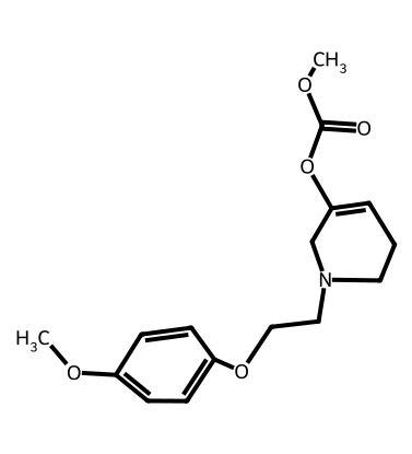 COC(=O)OC1=CCCN(CCOc2ccc(OC)cc2)C1